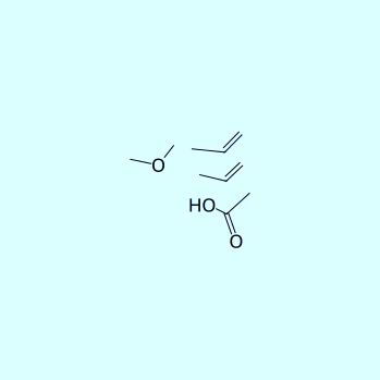 C=CC.C=CC.CC(=O)O.COC